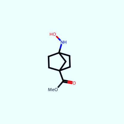 COC(=O)C12CCC(NO)(CC1)C2